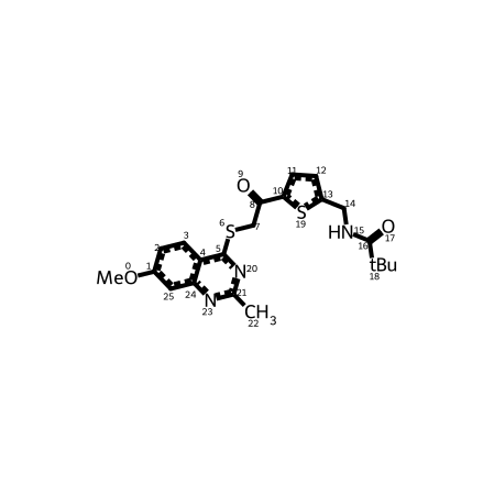 COc1ccc2c(SCC(=O)c3ccc(CNC(=O)C(C)(C)C)s3)nc(C)nc2c1